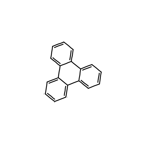 [c]1[c]cc2c([c]1)c1ccccc1c1ccccc21